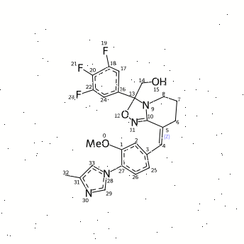 COc1cc(/C=C2/CCCN3C2=NOC3(CO)c2cc(F)c(F)c(F)c2)ccc1-n1cnc(C)c1